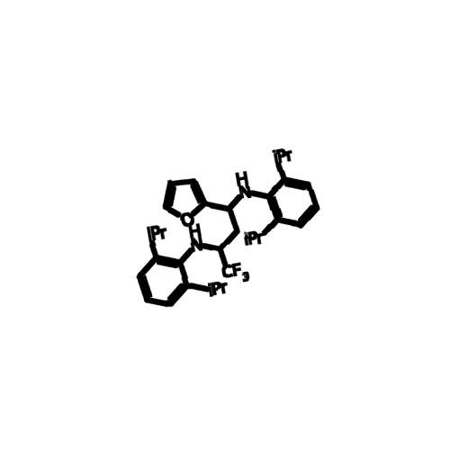 CC(C)c1cccc(C(C)C)c1NC(CC(Nc1c(C(C)C)cccc1C(C)C)C(F)(F)F)c1ccco1